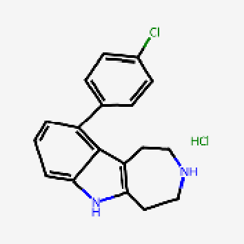 Cl.Clc1ccc(-c2cccc3[nH]c4c(c23)CCNCC4)cc1